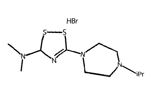 Br.CC(C)N1CCN(C2=NC(N(C)C)SS2)CC1